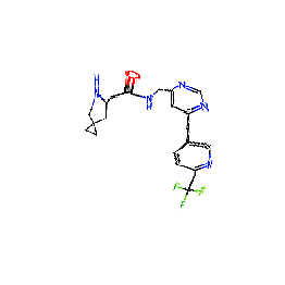 O=C(NCc1cc(-c2ccc(C(F)(F)F)nc2)ncn1)C1CC2(CC2)CN1